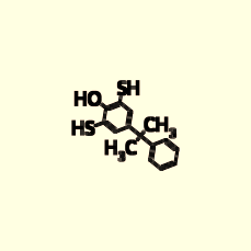 CC(C)(c1ccccc1)c1cc(S)c(O)c(S)c1